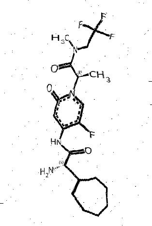 C[C@H](C(=O)N(C)CC(F)(F)F)n1cc(F)c(NC(=O)[C@@H](N)C2CCCCCC2)cc1=O